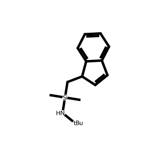 CC(C)(C)N[Si](C)(C)CC1C=Cc2ccccc21